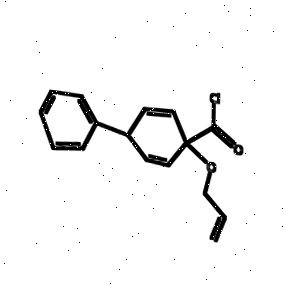 C=CCOC1(C(=O)Cl)C=CC(c2ccccc2)C=C1